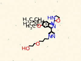 CC(C)(C)[Si](C)(C)Oc1ccc2c(c1)c(-c1cnn(CCCCOCCCO)c1)nn2C1NCCO1